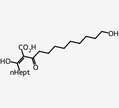 CCCCCCCC(O)=C(C(=O)O)C(=O)CCCCCCCCCO